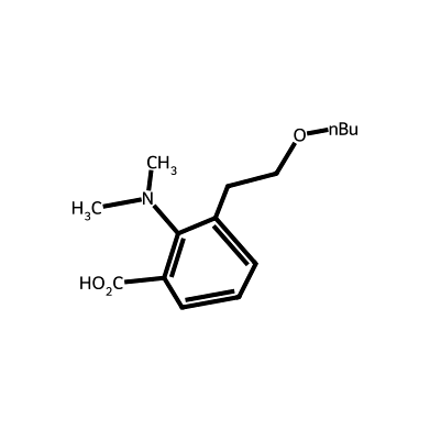 CCCCOCCc1cccc(C(=O)O)c1N(C)C